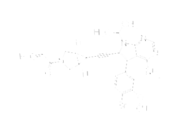 C=CC(=O)N1C[C@@H]2C(C#Cc3c(-c4ccc(Br)c(OC)c4)c4c(N)ncnc4n3C(C)C)[C@@H]2C1